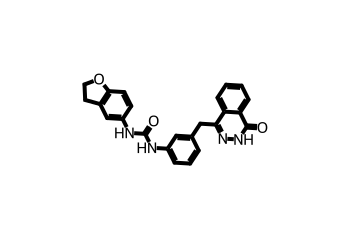 O=C(Nc1cccc(Cc2n[nH]c(=O)c3ccccc23)c1)Nc1ccc2c(c1)CCO2